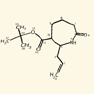 C=CCC1NC(=O)CCCC1C(=O)OC(C)(C)C